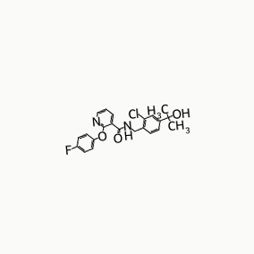 CC(C)(O)c1ccc(CNC(=O)c2cccnc2Oc2ccc(F)cc2)c(Cl)c1